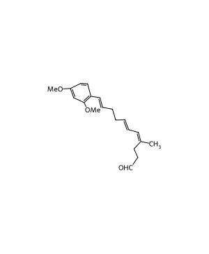 COc1ccc(C=CCCC=CC=C(C)CCC=O)c(OC)c1